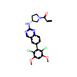 C=CC(=O)N1CC[C@@H](Nc2ncc3cc(-c4c(Cl)c(OC)cc(OC)c4Cl)ccc3n2)C1